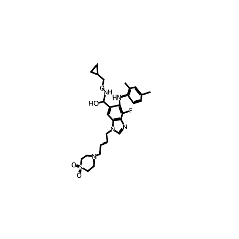 Cc1ccc(Nc2c(C(O)NOCC3CC3)cc3c(ncn3CCCCN3CCS(=O)(=O)CC3)c2F)c(C)c1